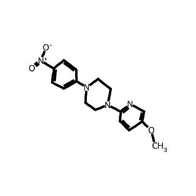 COc1ccc(N2CCN(c3ccc([N+](=O)[O-])cc3)CC2)nc1